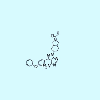 C=CC(=O)N1CC2=C(C[C@@H](n3nc(-c4ccc(Oc5ccccc5)cc4)c4c(N)ncnc43)CC2)C1